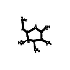 CC(=O)OCC1OC(O)C(C)[C@@H](C)[C@@H]1C